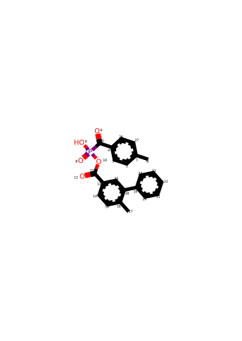 Cc1ccc(C(=O)P(=O)(O)OC(=O)c2ccc(C)c(-c3ccccc3)c2)cc1